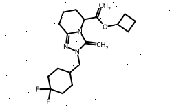 C=C(OC1CCC1)C1CCCC2=NN(CC3CCC(F)(F)CC3)C(=C)N21